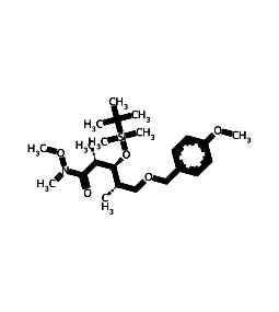 COc1ccc(COC[C@H](C)[C@H](O[Si](C)(C)C(C)(C)C)[C@@H](C)C(=O)N(C)OC)cc1